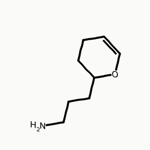 NCCCC1CCC=CO1